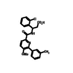 COc1ccc(C(=O)NC(CC(=O)O)c2ccccc2Cl)nc1-c1cccc(C)c1